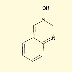 ON1C=c2ccccc2=NC1